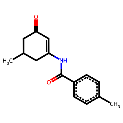 Cc1ccc(C(=O)NC2=CC(=O)CC(C)C2)cc1